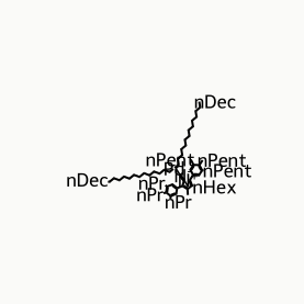 CCCCCCC1=C(c2cc(CCCCC)c(CCCCC)c(CCCCC)c2)[N+](=[N-])C(c2cc(CCC)c(CCC)c(CCC)c2)=C1C.CCCCCCCCCCCCCCCCCCCCCC[CH2][Pd][CH2]CCCCCCCCCCCCCCCCCCCCCC